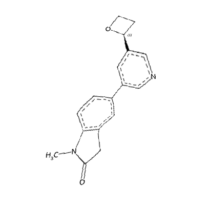 CN1C(=O)Cc2cc(-c3cncc([C@@H]4CCO4)c3)ccc21